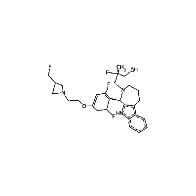 C[C@@](F)(CO)CN1CCCc2c([nH]c3ccccc23)[C@H]1C1=C(F)C=C(OCCN2CC(CF)C2)CC1F